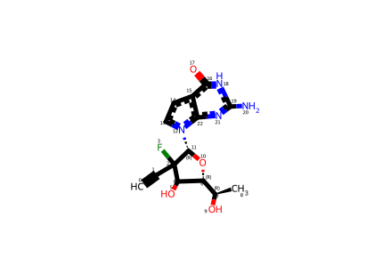 C#CC1(F)C(O)[C@@H]([C@@H](C)O)O[C@H]1n1ccc2c(=O)[nH]c(N)nc21